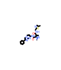 Cc1cnc(CNC(=O)c2cnn(C)c2C(=O)Nc2ccn3cc(-c4ccccc4)nc3n2)s1